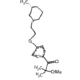 COC(C)(C)C(=O)c1ccc(OCCN2CCC[C@@H](C)C2)cc1